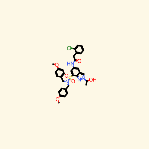 COc1ccc(CN(Cc2ccc(OC)cc2)S(=O)(=O)c2cc(NC(=O)Cc3ccccc3Cl)cc3cn(C(C)O)nc23)cc1